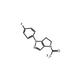 O=C(N1CCc2c1cnn2-c1ccc(F)cc1)C(F)(F)F